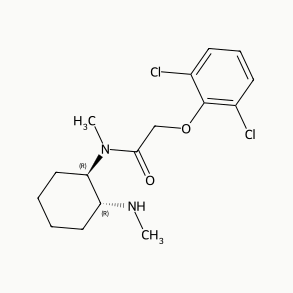 CN[C@@H]1CCCC[C@H]1N(C)C(=O)COc1c(Cl)cccc1Cl